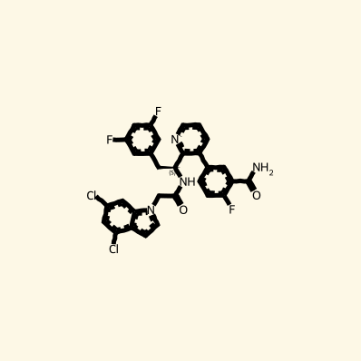 NC(=O)c1cc(-c2cccnc2[C@H](Cc2cc(F)cc(F)c2)NC(=O)Cn2ccc3c(Cl)cc(Cl)cc32)ccc1F